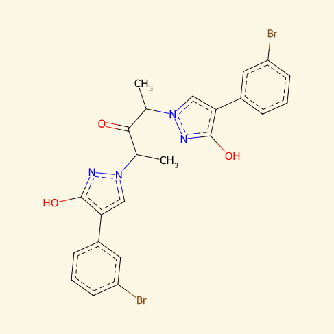 CC(C(=O)C(C)n1cc(-c2cccc(Br)c2)c(O)n1)n1cc(-c2cccc(Br)c2)c(O)n1